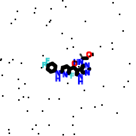 COC[C@@H](C)Nc1ncnc2[nH]cc(C(=O)c3ccc(NC4CCC(F)(F)CC4)nc3F)c12